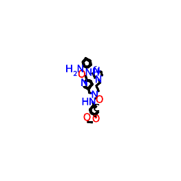 CN1CCN(CCCN(Cc2ccc(C(=O)Nc3ccccc3N)nc2)C(=O)Nc2ccc3c(c2)OCCO3)CC1